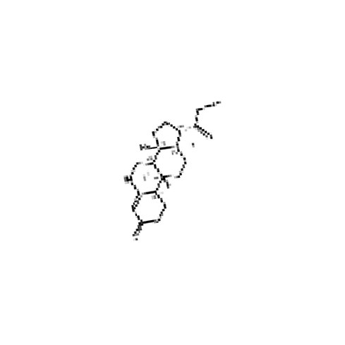 CC(C)CC(=O)[C@H]1CC[C@H]2[C@@H]3CNC4=CC(=O)CC[C@]4(C)[C@H]3CC[C@]12C